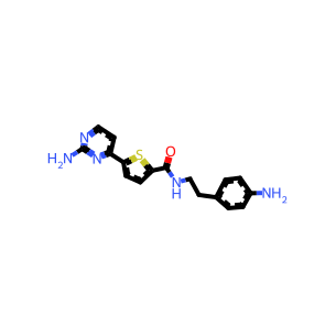 Nc1ccc(CCNC(=O)c2ccc(-c3ccnc(N)n3)s2)cc1